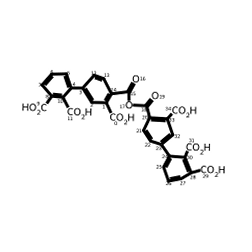 O=C(O)c1cc(-c2cccc(C(=O)O)c2C(=O)O)ccc1C(=O)OC(=O)c1ccc(-c2cccc(C(=O)O)c2C(=O)O)cc1C(=O)O